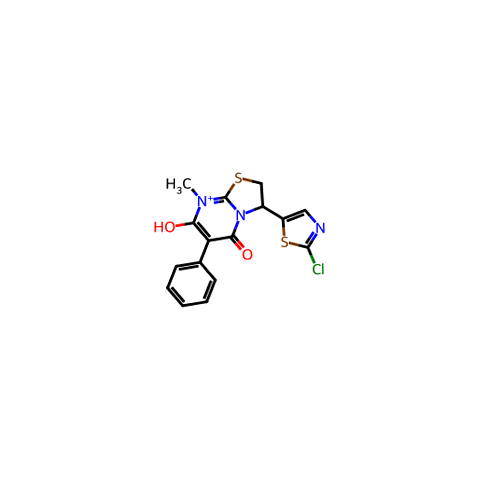 C[n+]1c(O)c(-c2ccccc2)c(=O)n2c1SCC2c1cnc(Cl)s1